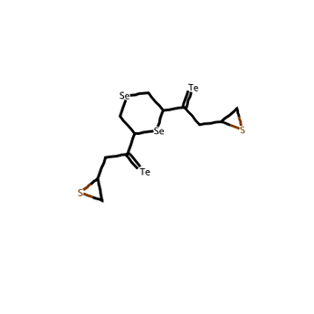 [Te]=C(CC1CS1)C1C[Se]CC(C(=[Te])CC2CS2)[Se]1